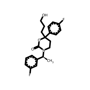 C[C@@H](c1cccc(F)c1)N1CCC(CCCO)(c2ccc(F)cc2)OC1=O